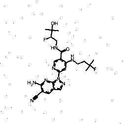 CC(C)(F)CCNc1cc(-n2ncc3cc(C#N)c(N)nc32)ncc1C(=O)NC[C@@H](F)C(C)(C)O